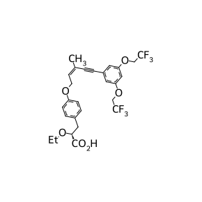 CCO[C@@H](Cc1ccc(OCC=C(C)C#Cc2cc(OCC(F)(F)F)cc(OCC(F)(F)F)c2)cc1)C(=O)O